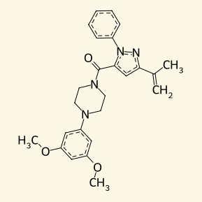 C=C(C)c1cc(C(=O)N2CCN(c3cc(OC)cc(OC)c3)CC2)n(-c2ccccc2)n1